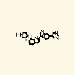 F[C@H]1CNCC[C@@H]1Oc1cccc2ccc(-c3cnc4cc(-c5cncnc5)ccn34)nc12